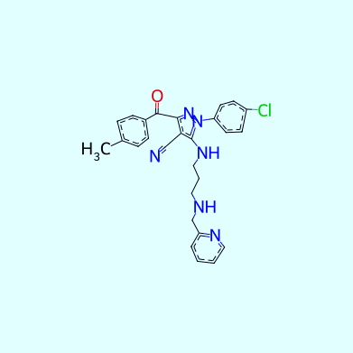 Cc1ccc(C(=O)c2nn(-c3ccc(Cl)cc3)c(NCCCNCc3ccccn3)c2C#N)cc1